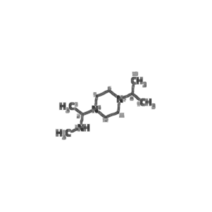 CNC(C)N1CCN(C(C)C)CC1